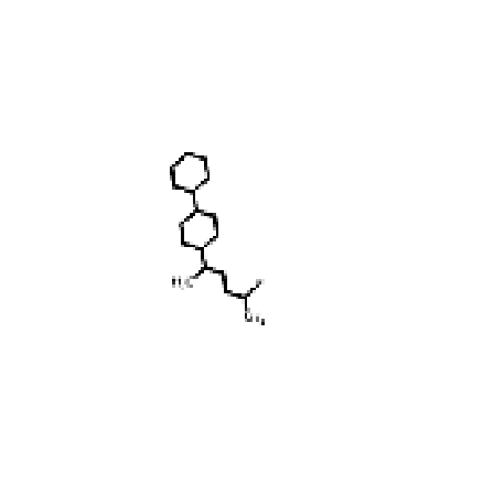 CC(F)CCC(C)C1CCC(C2CCCCC2)CC1